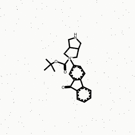 CC(C)(C)OC(=O)[N+]1(c2ccc3c(c2)C(=O)c2ccccc2-3)CC2CNCC2C1